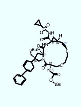 CCCCS[C@@]1(C2C=CC(c3ccccc3)=CC2)C[C@H]2C(=O)N[C@]3(C(=O)NS(=O)(=O)C4CC4)C[C@@H]3/C=C\CCCCC[C@H](NC(=O)OC(C)(C)C)C(=O)N2C1